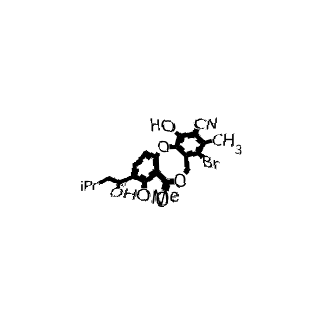 COc1c([C@@H](O)CC(C)C)ccc2c1C(=O)OCc1c(Br)c(C)c(C#N)c(O)c1O2